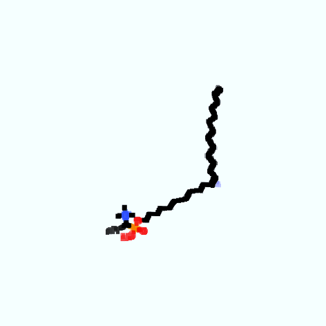 C=CCCCCCCCCCC/C=C\CCCCCCCCCCOP(=O)(O)C(CCC)[N+](C)(C)C